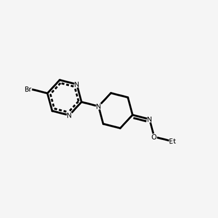 [CH2]CON=C1CCN(c2ncc(Br)cn2)CC1